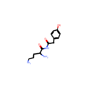 NCCCC(N)C(=O)NC(=O)Cc1ccc(O)cc1